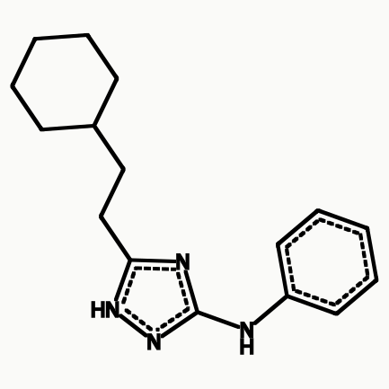 c1ccc(Nc2n[nH]c(CCC3CCCCC3)n2)cc1